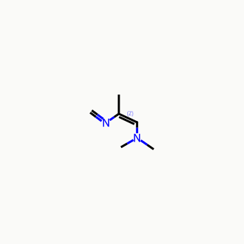 C=N/C(C)=C\N(C)C